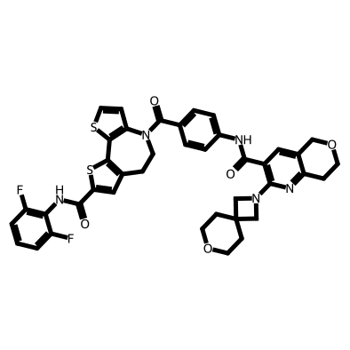 O=C(Nc1c(F)cccc1F)c1cc2c(s1)-c1sccc1N(C(=O)c1ccc(NC(=O)c3cc4c(nc3N3CC5(CCOCC5)C3)CCOC4)cc1)CC2